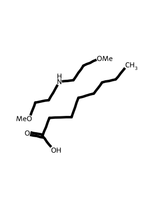 CCCCCCCC(=O)O.COCCNCCOC